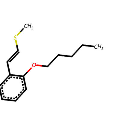 CCCCCOc1ccccc1C=CSC